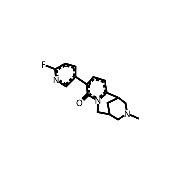 CN1CC2CC(C1)c1ccc(-c3ccc(F)nc3)c(=O)n1C2